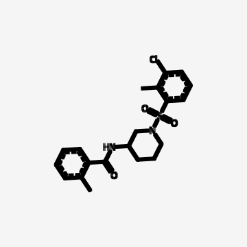 Cc1ccccc1C(=O)NC1CCCN(S(=O)(=O)c2cccc(Cl)c2C)C1